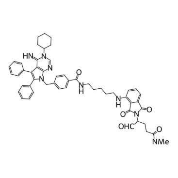 CNC(=O)CCC(C=O)N1C(=O)c2cccc(NCCCCCNC(=O)c3ccc(Cn4c(-c5ccccc5)c(-c5ccccc5)c5c(=N)n(C6CCCCC6)cnc54)cc3)c2C1=O